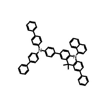 CC1(C)c2cc(-c3ccccc3)ccc2N(c2cccc3ccccc23)c2ccc(-c3ccc(N(c4ccc(-c5ccccc5)cc4)c4ccc(-c5ccccc5)cc4)cc3)cc21